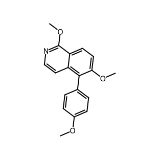 COc1ccc(-c2c(OC)ccc3c(OC)nccc23)cc1